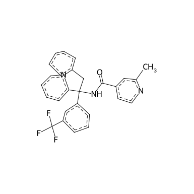 Cc1cc(C(=O)NC(Cc2ccccc2)(c2cccc(C(F)(F)F)c2)c2ccccn2)ccn1